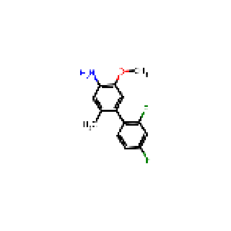 COc1cc(-c2ccc(F)cc2F)c(C)cc1N